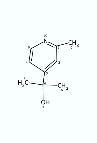 Cc1cc(C(C)(C)O)ccn1